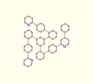 c1ccc(-c2ccnc(-c3ccc(-c4ccccc4-c4cc(-c5ccccc5-c5ccc(-c6ccccn6)cc5)cc(-c5ccccc5-c5ccc(-c6ccccn6)cc5)c4)cc3)c2)cc1